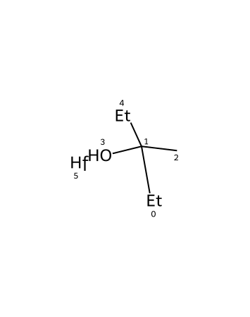 CCC(C)(O)CC.[Hf]